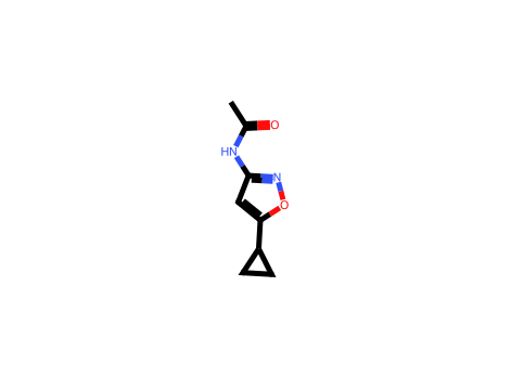 CC(=O)Nc1cc(C2CC2)on1